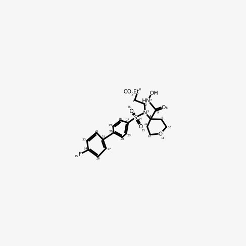 CCOC(=O)CCN(C1(C(=O)NO)CCOCC1)S(=O)(=O)c1ccc(-c2ccc(F)cc2)cc1